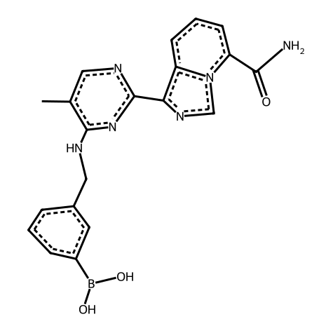 Cc1cnc(-c2ncn3c(C(N)=O)cccc23)nc1NCc1cccc(B(O)O)c1